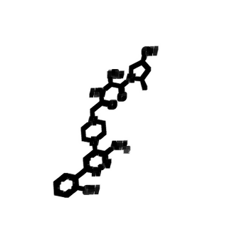 C[C@@H]1C[C@H](O)CN1C(=O)[C@@H](NC(=O)CN1CCN(c2cc(-c3ccccc3O)nnc2N)CC1)C(C)(C)C